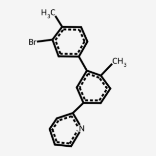 Cc1ccc(-c2cc(-c3ccccn3)ccc2C)cc1Br